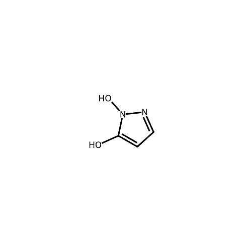 Oc1ccnn1O